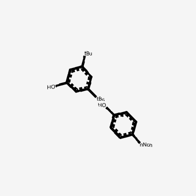 CC(C)(C)c1cc(O)cc(C(C)(C)C)c1.CCCCCCCCCc1ccc(O)cc1